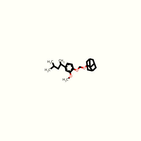 COc1cc(C(C)CC(C)C)ccc1OCOC12CC3CC(CC(C3)C1)C2